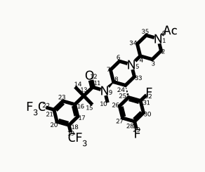 CC(=O)N1CCC(N2CC[C@H](N(C)C(=O)C(C)(C)c3cc(C(F)(F)F)cc(C(F)(F)F)c3)[C@@H](c3ccc(F)cc3F)C2)CC1